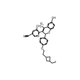 CC1=C(c2ncc(C#N)cc2C)C(c2ccc(OCCN3CC(CF)C3)cc2)Oc2ccc(O)cc21